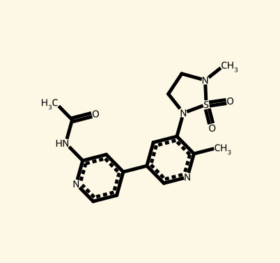 CC(=O)Nc1cc(-c2cnc(C)c(N3CCN(C)S3(=O)=O)c2)ccn1